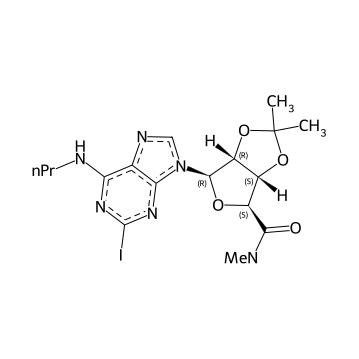 CCCNc1nc(I)nc2c1ncn2[C@@H]1O[C@H](C(=O)NC)[C@H]2OC(C)(C)O[C@H]21